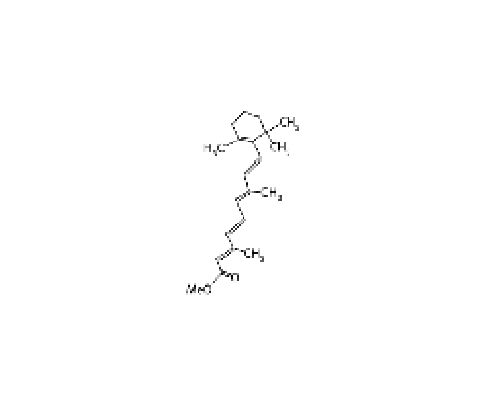 COC(=O)/C=C(C)/C=C/C=C(C)/C=C/C1=C(C)CCCC1(C)C